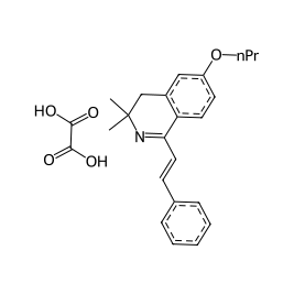 CCCOc1ccc2c(c1)CC(C)(C)N=C2C=Cc1ccccc1.O=C(O)C(=O)O